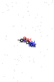 Cc1ccc(N(C[C@H]2CC[C@@H](Nc3nccc(N(C)C)n3)CC2)C(=O)O)cc1